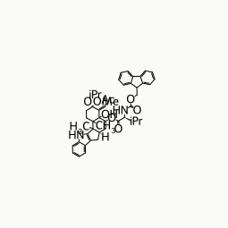 CO[C@]1(OC(C)C)CCC2(C)[C@@]3(C)c4[nH]c5ccccc5c4C[C@@H]3C[C@H](OC(=O)[C@@H](NC(=O)OCC3c4ccccc4-c4ccccc43)C(C)C)[C@@]2(O)/C1=C/C(C)=O